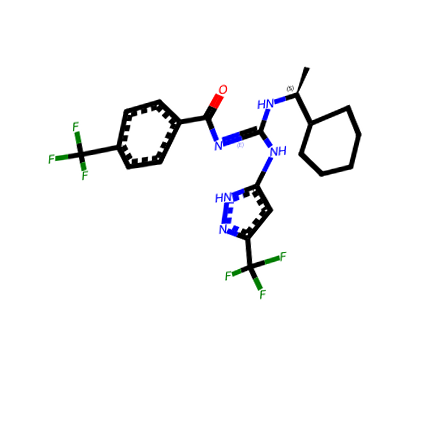 C[C@H](N/C(=N\C(=O)c1ccc(C(F)(F)F)cc1)Nc1cc(C(F)(F)F)n[nH]1)C1CCCCC1